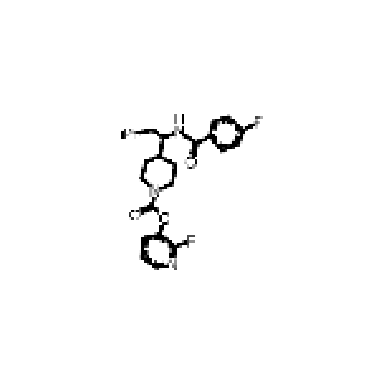 CC(C)CC(NC(=O)c1ccc(F)cc1)C1CCN(C(=O)Oc2cccnc2F)CC1